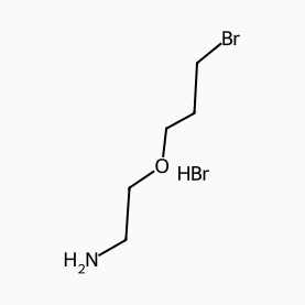 Br.NCCOCCCBr